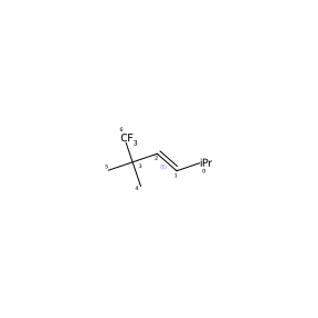 CC(C)/C=C/C(C)(C)C(F)(F)F